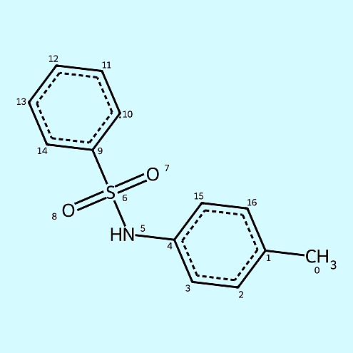 Cc1ccc(NS(=O)(=O)c2[c]cccc2)cc1